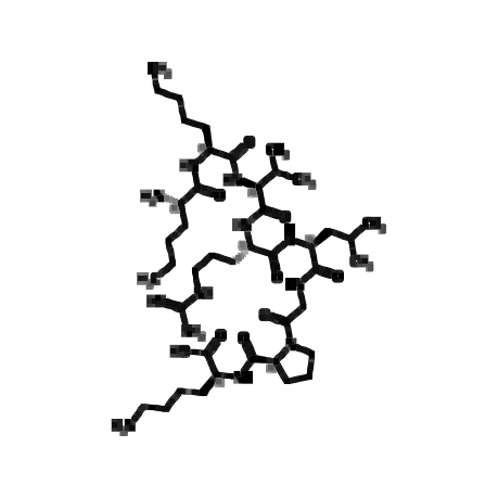 CCCC[C@H](N)C(=O)N[C@@H](CCCCN)C(=O)N[C@H](C(=O)N[C@@H](CCCNC(=N)N)C(=O)N[C@@H](CC(C)C)C(=O)NCC(=O)N1CCC[C@H]1C(=O)N[C@@H](CCCCN)C(=O)O)C(C)C